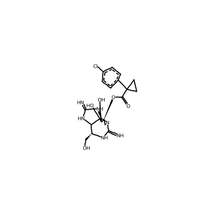 N=C1NC2[C@H](CO)NC(=N)N3C[C@H](OC(=O)C4(c5ccc(Cl)cc5)CC4)C(O)(O)[C@]23N1